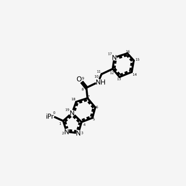 CC(C)c1nnc2ccc(C(=O)NCc3ccccn3)cn12